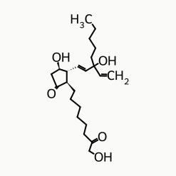 C=CC(O)(/C=C/[C@H]1[C@H](O)CC(=O)[C@@H]1CCCCCCC(=O)CO)CCCCC